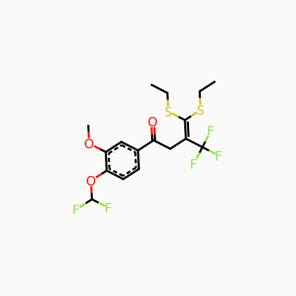 CCSC(SCC)=C(CC(=O)c1ccc(OC(F)F)c(OC)c1)C(F)(F)F